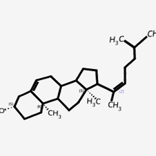 C/C(=C/CCC(C)C)C1CCC2C3CC=C4C[C@@H](O)CC[C@]4(C)C3CC[C@]12C